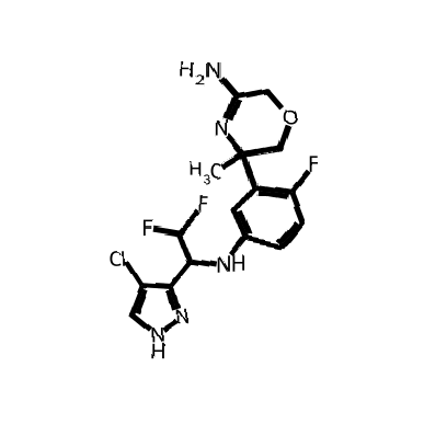 CC1(c2cc(NC(c3n[nH]cc3Cl)C(F)F)ccc2F)COCC(N)=N1